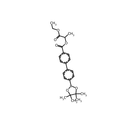 CCOC(=O)C(C)OC(=O)c1ccc(-c2ccc(B3OC(C)(C)C(C)(C)O3)cc2)cc1